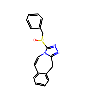 [O-][S+](Cc1ccccc1)c1nnc2n1C=Cc1ccccc1C2